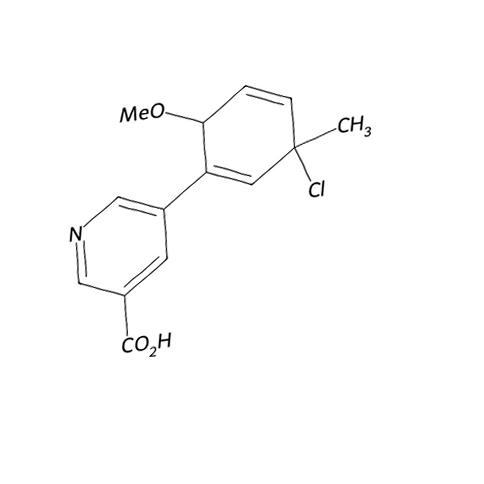 COC1C=CC(C)(Cl)C=C1c1cncc(C(=O)O)c1